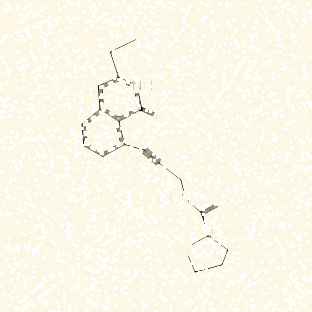 CCc1cc2cccc(C#CCNC(=O)[C@H]3CCCO3)c2c(=O)[nH]1